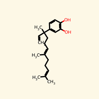 C=CC(C)(CC/C=C(\C)CCC=C(C)C)c1ccc(O)c(O)c1